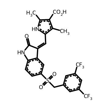 Cc1[nH]c(/C=C2\C(=O)Nc3ccc(S(=O)(=O)Cc4cc(C(F)(F)F)cc(C(F)(F)F)c4)cc32)c(C)c1C(=O)O